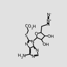 [N-]=[N+]=NCC1OC(n2c(SCC(=O)O)nc3c(N)ncnc32)C(O)C1O